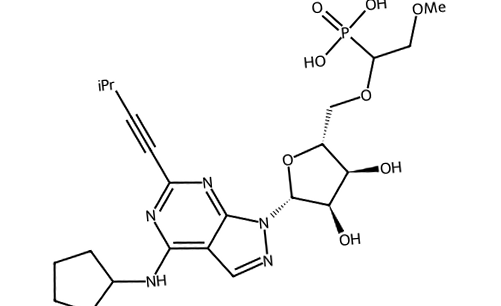 COCC(OC[C@H]1O[C@@H](n2ncc3c(NC4CCCC4)nc(C#CC(C)C)nc32)[C@H](O)[C@@H]1O)P(=O)(O)O